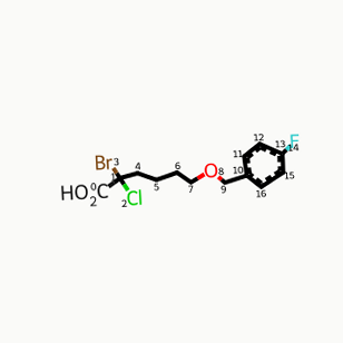 O=C(O)C(Cl)(Br)CCCCOCc1ccc(F)cc1